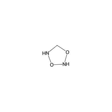 C1NONO1